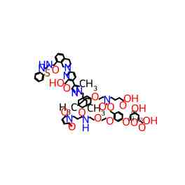 Cc1c(-c2ccc(N3CCc4cccc(C(=O)Nc5nc6ccccc6s5)c4C3)nc2C(=O)O)cnn1CC12CC3(C)CC(C)(C1)CC(OCCN(CCCC(=O)O)C(=O)OCc1ccc(O[C@H]4C[C@@H](O)C[C@@H](C(=O)O)O4)cc1OCCOCCNC(=O)CCN1C(=O)C=CC1=O)(C3)C2